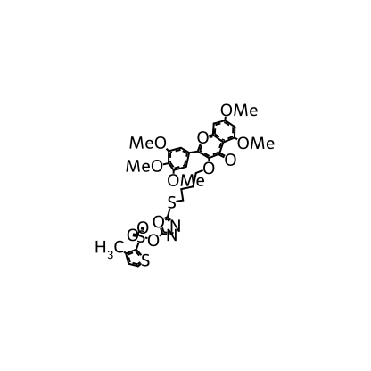 COc1cc(OC)c2c(=O)c(OCCCCSc3nnc(OS(=O)(=O)c4sccc4C)o3)c(-c3cc(OC)c(OC)c(OC)c3)oc2c1